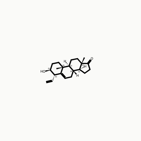 C=C[C@H]1C2=CC[C@@H]3[C@H](CC[C@]4(C)C(=O)CC[C@@H]34)[C@@]2(C)CC[C@@H]1O